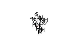 C=CC(=O)Nc1cc(Nc2ncc(-c3cccs3)c(-c3cn(C4CC4)c4ccccc34)n2)c(OC)cc1N1C[C@H]2CN(C)C[C@H]2C1